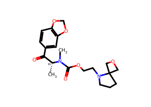 C[C@H](C(=O)c1ccc2c(c1)OCO2)N(C)C(=O)OCCN1CCCC12COC2